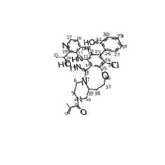 C=CC(=O)N1CCN2C(=N)c3c(Nc4c(C)ccnc4C(C)O)c(F)c(-c4ccccc4O)c(Cl)c3OCCC2C1